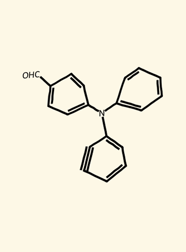 O=Cc1ccc(N(c2c#cccc2)c2ccccc2)cc1